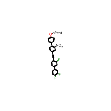 CCCCCOc1ccc(-c2ccc(C#Cc3ccc(-c4ccc(F)c(F)c4)cc3F)cc2[N+](=O)[O-])cc1